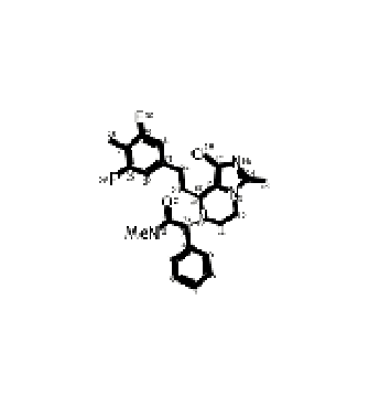 CNC(=O)[C@@H](c1ccccc1)N1CCn2c(C)nc(Cl)c2[C@@H]1CCc1cc(F)c(C)c(F)c1